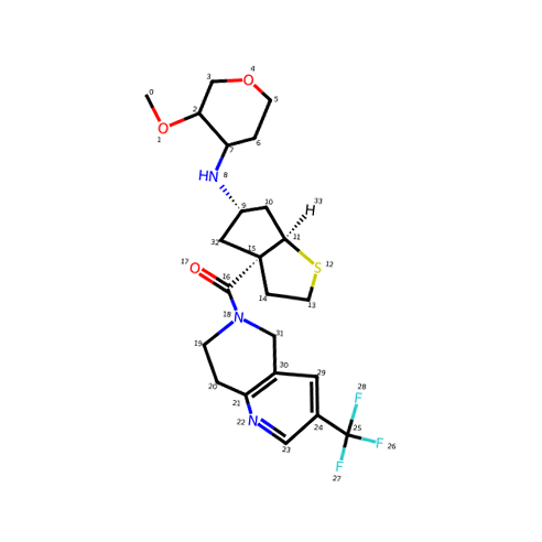 COC1COCCC1N[C@@H]1C[C@H]2SCC[C@@]2(C(=O)N2CCc3ncc(C(F)(F)F)cc3C2)C1